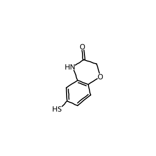 O=C1COc2ccc(S)cc2N1